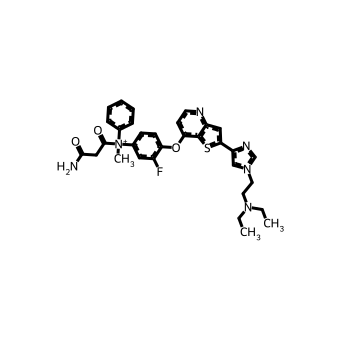 CCN(CC)CCn1cnc(-c2cc3nccc(Oc4ccc([N+](C)(C(=O)CC(N)=O)c5ccccc5)cc4F)c3s2)c1